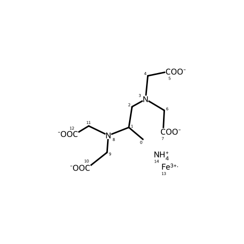 CC(CN(CC(=O)[O-])CC(=O)[O-])N(CC(=O)[O-])CC(=O)[O-].[Fe+3].[NH4+]